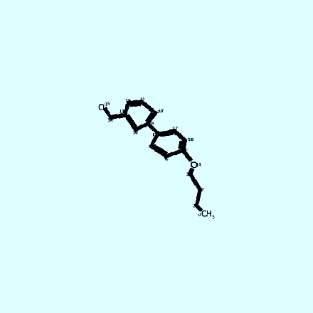 CCCCOc1ccc(-c2cccc(CCl)c2)cc1